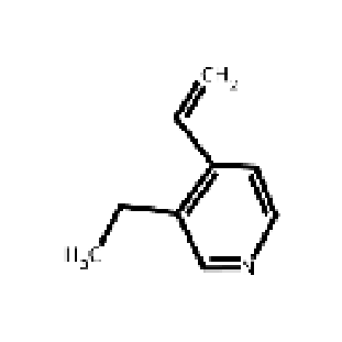 C=Cc1ccncc1CC